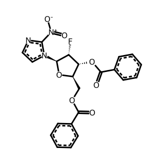 O=C(OC[C@H]1O[C@@H](n2ccnc2[N+](=O)[O-])[C@H](F)[C@@H]1OC(=O)c1ccccc1)c1ccccc1